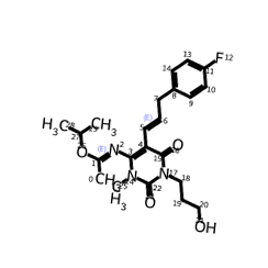 C/C(=N\c1c(/C=C/Cc2ccc(F)cc2)c(=O)n(CCCO)c(=O)n1C)OC(C)C